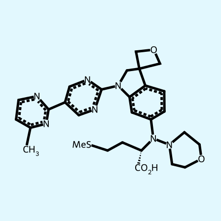 CSCC[C@@H](C(=O)O)N(c1ccc2c(c1)N(c1ncc(-c3nccc(C)n3)cn1)CC21COC1)N1CCOCC1